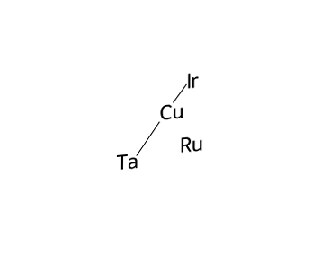 [Ru].[Ta][Cu][Ir]